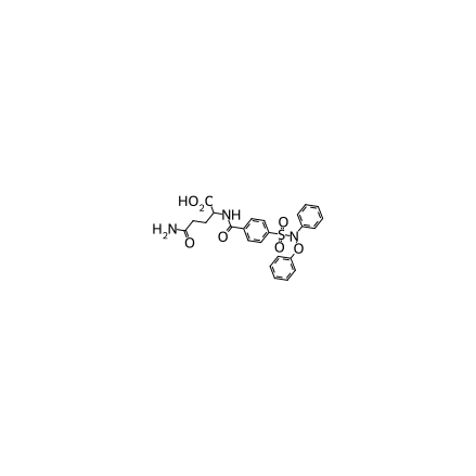 NC(=O)CCC(NC(=O)c1ccc(S(=O)(=O)N(Oc2ccccc2)c2ccccc2)cc1)C(=O)O